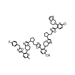 Cc1ccc(-c2cnc(Cc3ccc(F)cc3)o2)c(N2CCn3c(C4CCCC4Cc4ncc(-c5ccc(C#N)nc5N5CCn6c(C7CCCC7Cc7ncc(-c8ccc(Cl)nc8N8CCn9ccnc9C8)o7)cnc6C5)o4)cnc3C2)n1